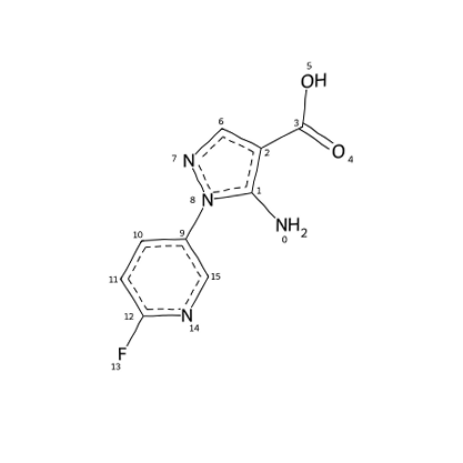 Nc1c(C(=O)O)cnn1-c1ccc(F)nc1